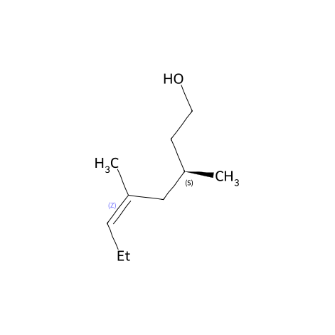 CC/C=C(/C)C[C@H](C)CCO